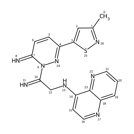 Cc1cc(-c2ccc(=N)n(C(=N)CNc3ccnc4cccnc34)n2)sn1